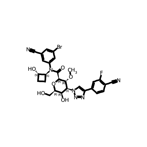 CO[C@@H]1[C@@H](n2cc(-c3ccc(C#N)c(F)c3)nn2)[C@@H](O)[C@@H](CO)O[C@H]1C(=O)N(c1cc(Br)cc(C#N)c1)[C@H]1CC[C@@H]1O